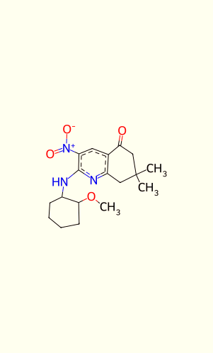 COC1CCCCC1Nc1nc2c(cc1[N+](=O)[O-])C(=O)CC(C)(C)C2